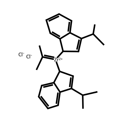 C[C](C)=[Zr+2]([CH]1C=C(C(C)C)c2ccccc21)[CH]1C=C(C(C)C)c2ccccc21.[Cl-].[Cl-]